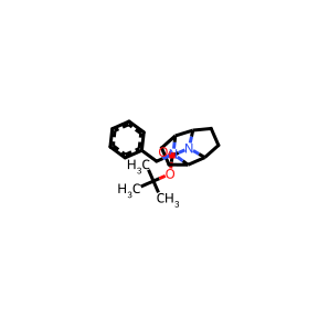 CC(C)(C)OC(=O)N1C2CCC1C1CCC2N1Cc1ccccc1